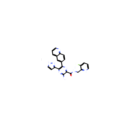 Cn1ccc(-c2nc(N)c(C(=O)NCc3ncccc3F)nc2-c2ccc3ncccc3c2)n1